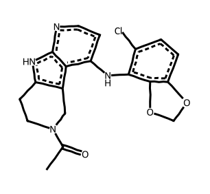 CC(=O)N1CCc2[nH]c3nccc(Nc4c(Cl)ccc5c4OCO5)c3c2C1